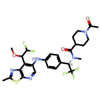 COC(c1c(Nc2ccc([C@H](N(C)C(=O)C3CCN(C(C)=O)CC3)C(F)(F)F)cc2)cnc2sc(C)nc12)C(F)F